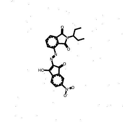 CCC(CC)N1C(=O)c2cccc(N=NC3=C(O)c4ccc([N+](=O)[O-])cc4C3=O)c2C1=O